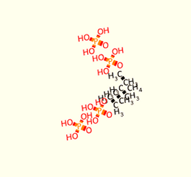 C.CC.CC.CC.CC.O=P(O)(O)O.O=P(O)(O)O.O=P(O)(O)O.O=P(O)(O)O